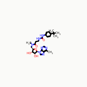 Cc1ncnc2c1ncn2[C@@H]1O[C@H](CN(C)C(=O)CCNC(=O)Nc2ccc(C(C)(C)C)cc2)[C@@H](O)[C@H]1O